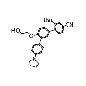 CC(C)(C)c1cc(C#N)ccc1-c1ccc(OCCO)c(-c2ccc(N3CCCC3)cc2)c1